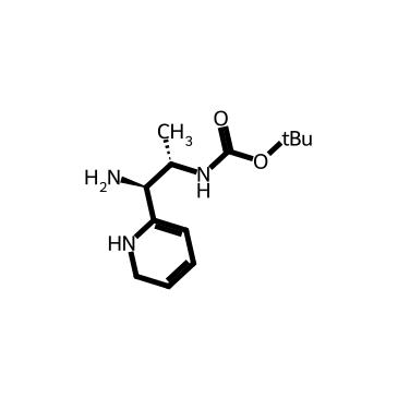 C[C@H](NC(=O)OC(C)(C)C)[C@H](N)C1=CC=CCN1